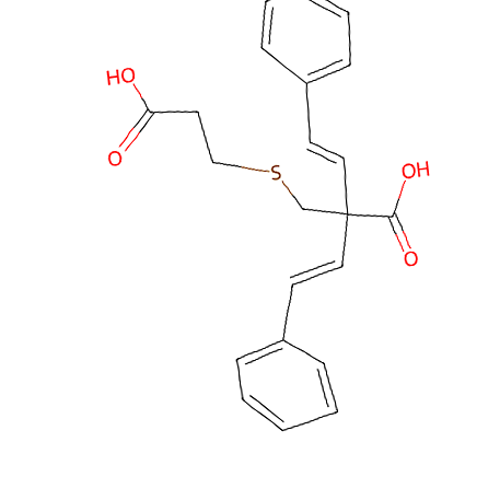 O=C(O)CCSCC(/C=C/c1ccccc1)(/C=C/c1ccccc1)C(=O)O